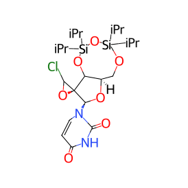 CC(C)[Si]1(C(C)C)OC[C@H]2O[C@@H](n3ccc(=O)[nH]c3=O)[C@@]3(OC3Cl)C2O[Si](C(C)C)(C(C)C)O1